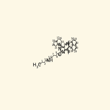 CCCCNCCCCCOc1nc(N2CCCC3CCCC32)c2cnc(-c3cccc4cccc(F)c34)c(F)c2n1